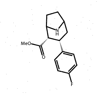 COC(=O)[C@@H]1C2CCC(C[C@@H]1c1ccc(F)cc1)N2